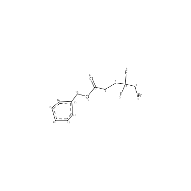 CC(C)CC(F)(F)CCC(=O)OCc1ccccc1